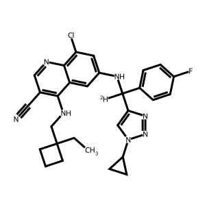 [2H]C(Nc1cc(Cl)c2ncc(C#N)c(NCC3(CC)CCC3)c2c1)(c1ccc(F)cc1)c1cn(C2CC2)nn1